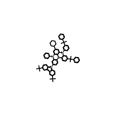 CC(C)(C)c1ccc2c(c1)c1cc(C(C)(C)C)ccc1n2-c1ccc2c(c1)N(c1ccccc1)c1cc(C3CCCCC3)cc3c1B2c1ccc(C(C)(C)c2ccccc2)cc1N3c1cccc(C(C)(C)c2ccccc2)c1